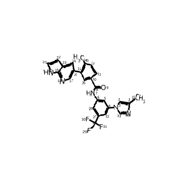 Cc1cn(-c2cc(NC(=O)c3ccc(C)c(-c4cnc5[nH]ccc5c4)c3)cc(C(F)(F)F)c2)cn1